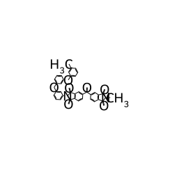 Cc1cccc(Oc2cccc(Oc3cccc(N4C(=O)c5ccc(C(=O)c6ccc7c(c6)C(=O)N(C)C7=O)cc5C4=O)c3)c2)c1